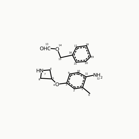 Cc1cc(OC2CNC2)ccc1N.O=COCc1ccccc1